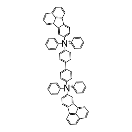 c1ccc([N+](c2ccccc2)(c2ccc(-c3ccc([N+](c4ccccc4)(c4ccccc4)c4ccc5c(c4)-c4cccc6cccc-5c46)cc3)cc2)c2ccc3c(c2)-c2cccc4cccc-3c24)cc1